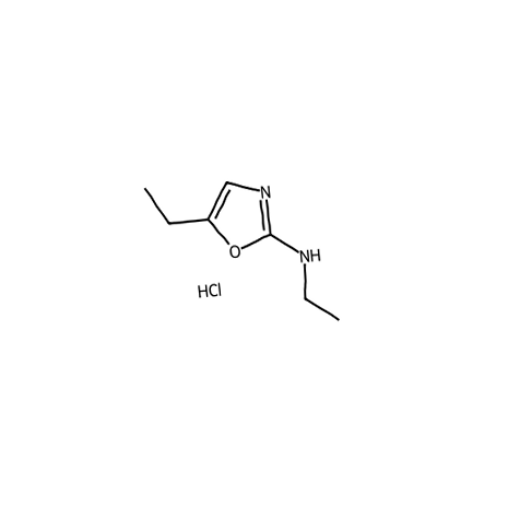 CCNc1ncc(CC)o1.Cl